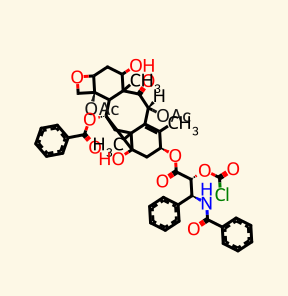 CC(=O)O[C@H]1C(=O)C2(C)C(O)CC3OC[C@@]3(OC(C)=O)C2[C@]2(OC(=O)c3ccccc3)CC3(C)C1=C(C)[C@@H](OC(=O)[C@H](OC(=O)Cl)[C@@H](NC(=O)c1ccccc1)c1ccccc1)CC32O